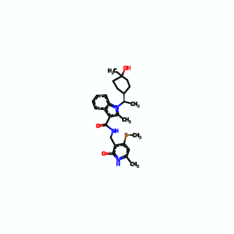 CSc1cc(C)[nH]c(=O)c1CNC(=O)c1c(C)n(C(C)C2CCC(C)(O)CC2)c2ccccc12